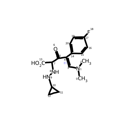 CN(C)/C=C(/C(=O)C(NNC1CC1)C(=O)O)c1ccc(F)cc1